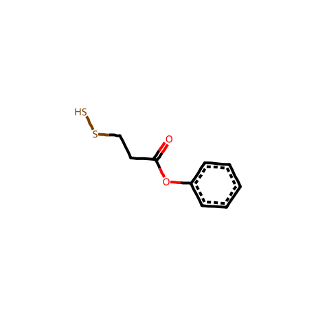 O=C(CCSS)Oc1ccccc1